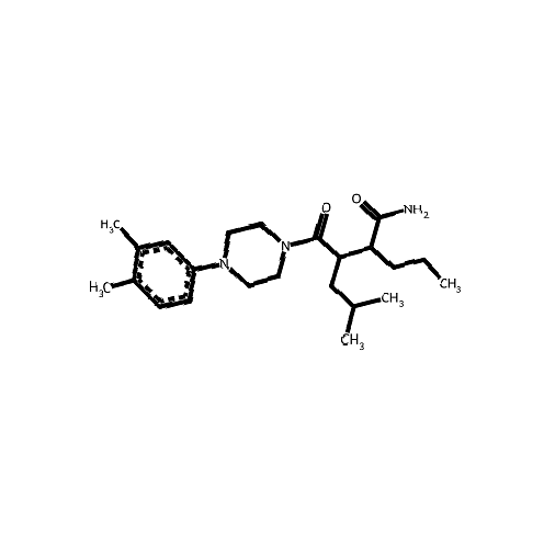 CCCC(C(N)=O)C(CC(C)C)C(=O)N1CCN(c2ccc(C)c(C)c2)CC1